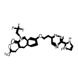 O=C(O)C[C@@H]1Cc2ccc(OCCc3cnc(C4NCCN4)nn3)cc2CN(CC(F)(F)F)C1=O